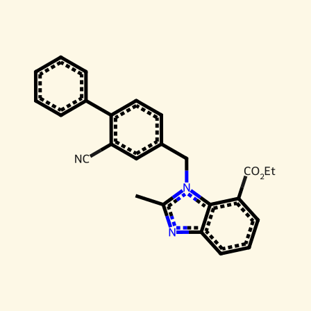 CCOC(=O)c1cccc2nc(C)n(Cc3ccc(-c4ccccc4)c(C#N)c3)c12